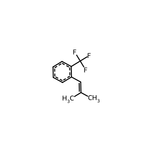 CC(C)=Cc1ccccc1C(F)(F)F